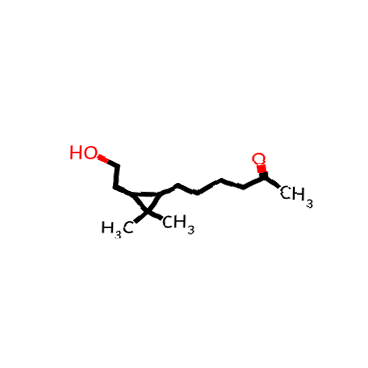 CC(=O)CCCCC1C(CCO)C1(C)C